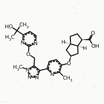 Cc1nc(-c2nnn(C)c2COc2nccc(C(C)(C)O)n2)ccc1O[C@H]1C[C@H]2CC[C@@H](C(=O)O)[C@H]2C1